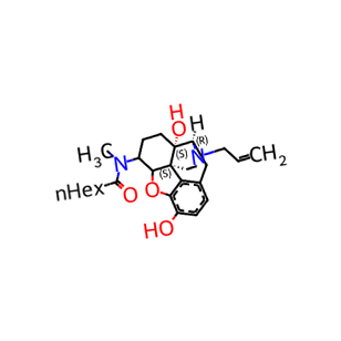 C=CCN1CC[C@]23c4c5ccc(O)c4OC2C(N(C)C(=O)CCCCCC)CC[C@@]3(O)[C@H]1C5